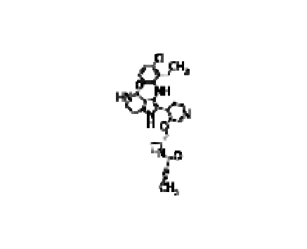 CC#CC(=O)N1CC[C@@H]1COc1cnccc1-c1[nH]c2c(c1Nc1cccc(Cl)c1CC)C(=O)NCC2